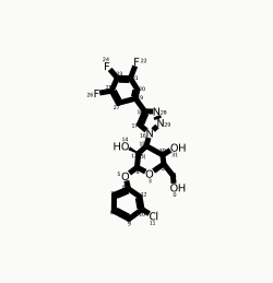 OCC1OC(Oc2cccc(Cl)c2)[C@@H](O)C(n2cc(-c3cc(F)c(F)c(F)c3)nn2)C1O